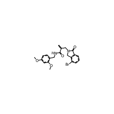 C=C(CN1Cc2c(Br)cccc2C1=O)C(=O)NCc1ccc(OC)cc1OC